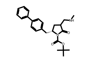 CNCC1C[C@@H](Cc2ccc(-c3ccccc3)cc2)N(C(=O)OC(C)(C)C)C1=O